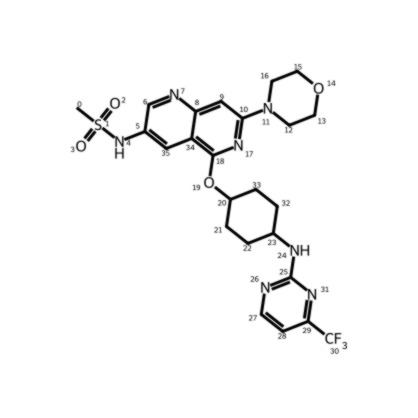 CS(=O)(=O)Nc1cnc2cc(N3CCOCC3)nc(OC3CCC(Nc4nccc(C(F)(F)F)n4)CC3)c2c1